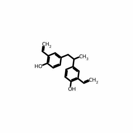 C=Cc1cc(CC(C)c2ccc(O)c(C=C)c2)ccc1O